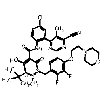 Cc1c(C#N)ncnc1-c1cc(Cl)ccc1NC(=O)C1=C(O)[C@H](C(C)(C)C)N(C)N(Cc2ccc(OCCN3CCOCC3)c(F)c2F)C1=O